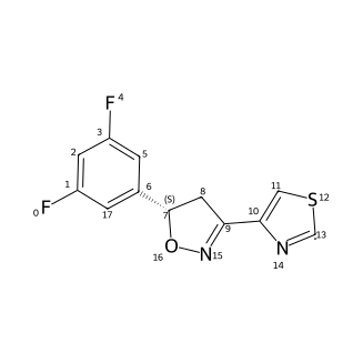 Fc1cc(F)cc([C@@H]2CC(c3cs[c]n3)=NO2)c1